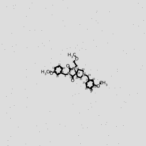 COCCN1C(=O)N(Cc2cccc(OC)c2)C(=O)C12CCN(Cc1ccc(F)c(OC)c1)CC2